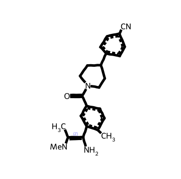 CN/C(C)=C(\N)c1cc(C(=O)N2CCC(c3ccc(C#N)cc3)CC2)ccc1C